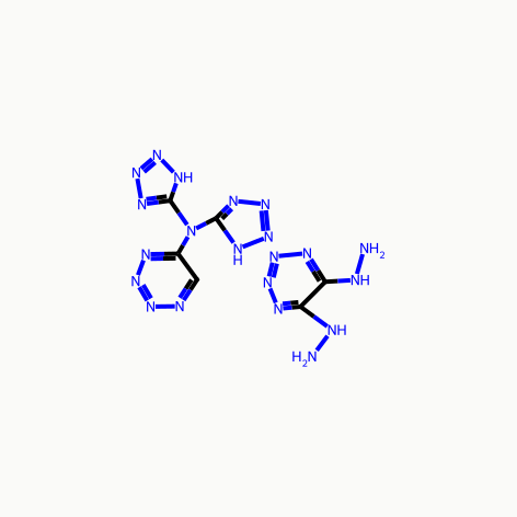 NNc1nnnnc1NN.c1nnnnc1N(c1nnn[nH]1)c1nnn[nH]1